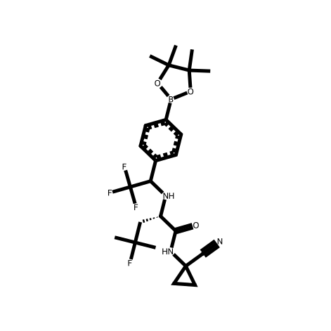 CC(C)(F)C[C@H](NC(c1ccc(B2OC(C)(C)C(C)(C)O2)cc1)C(F)(F)F)C(=O)NC1(C#N)CC1